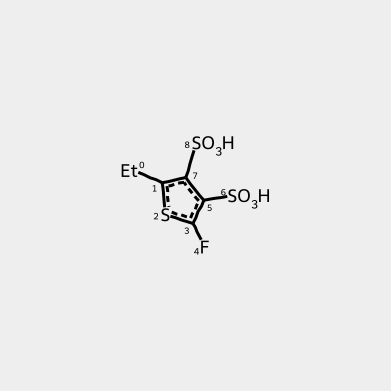 CCc1sc(F)c(S(=O)(=O)O)c1S(=O)(=O)O